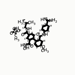 COc1ccc(-c2ccc(C(=O)NCC(C)C)cc2C(=O)NO)c(C(=O)Nc2ccc(C(=N)N)cc2)c1.CS(=O)(=O)O